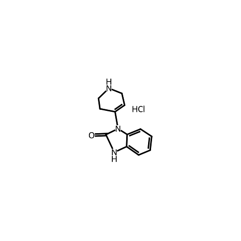 Cl.O=c1[nH]c2ccccc2n1C1=CCNCC1